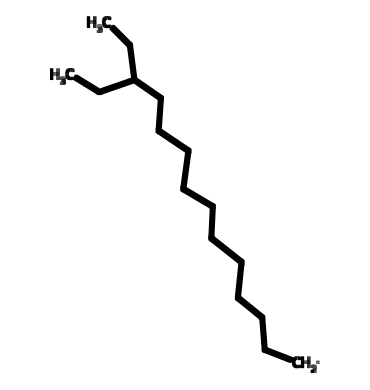 [CH2]CCCCCCCCCCC(CC)CC